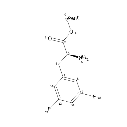 CCCCCOC(=O)[C@@H](N)Cc1cc(F)cc(F)c1